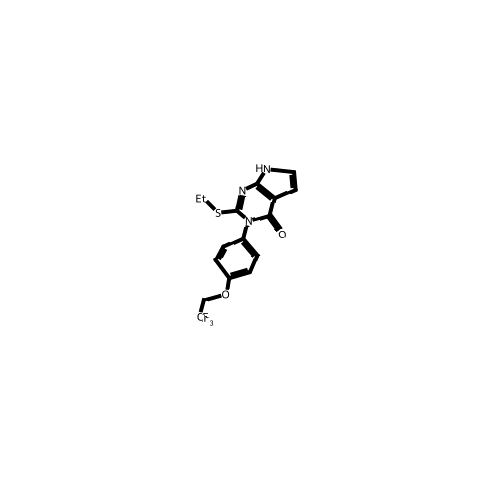 CCSc1nc2[nH]ccc2c(=O)n1-c1ccc(OCC(F)(F)F)cc1